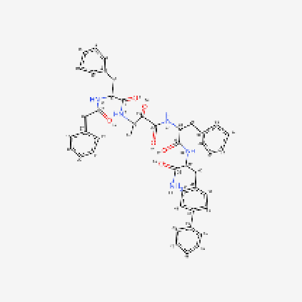 CC(NC(=O)C(Cc1ccccc1)NC(=O)Cc1ccccc1)C(=O)C(=O)NC(Cc1ccccc1)C(=O)NC(Cc1ccc(-c2ccccc2)cc1)C(N)=O